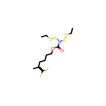 CCSSN(SSCC)C(=O)OCCCCC(C)=C(F)F